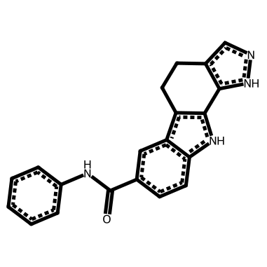 O=C(Nc1ccccc1)c1ccc2[nH]c3c(c2c1)CCc1cn[nH]c1-3